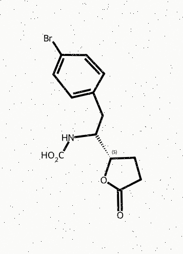 O=C(O)NC(Cc1ccc(Br)cc1)[C@@H]1CCC(=O)O1